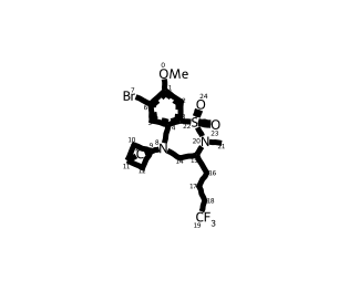 COc1cc2c(cc1Br)N(C13CC(C1)C3)CC(CCCC(F)(F)F)N(C)S2(=O)=O